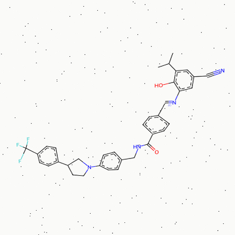 CC(C)c1cc(C#N)cc(/N=C/c2ccc(C(=O)NCc3ccc(N4CCC(c5ccc(C(F)(F)F)cc5)C4)cc3)cc2)c1O